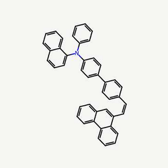 C(=C/c1cc2ccccc2c2ccccc12)/c1ccc(-c2ccc(N(c3ccccc3)c3cccc4ccccc34)cc2)cc1